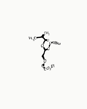 C=C(C)C(=O)OC(COOC(=O)OCC)OOC(C)(C)C